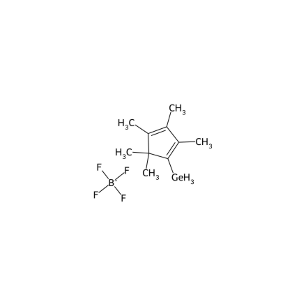 CC1=C(C)C(C)(C)[C]([GeH3])=C1C.F[B-](F)(F)F